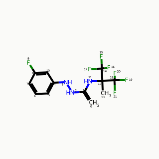 C=C(NNc1cccc(F)c1)NC(C)(C(F)(F)F)C(F)(F)F